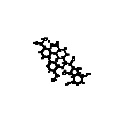 CCOc1ccc(-c2ccc(C(=O)C(F)(F)F)cc2)cc1CN(C(=O)c1sc2c(F)ccc(F)c2c1Cl)[C@H]1CC[C@@H](NC)CC1